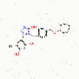 CC(C)c1cc(-c2nnc(O)n2Cc2ccc(COc3ccccc3)cc2)c(O)cc1O